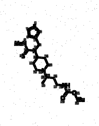 CNC(=S)N(Cc1ccsc1)C1CCN([C@H](C)CCNC(=O)OC(C)(C)C)CC1